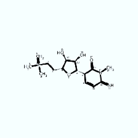 C=P(C)(C)CC[C@H]1O[C@@H](C2C=CC(=N)N(C)C2=O)[C@H](O)[C@@H]1O